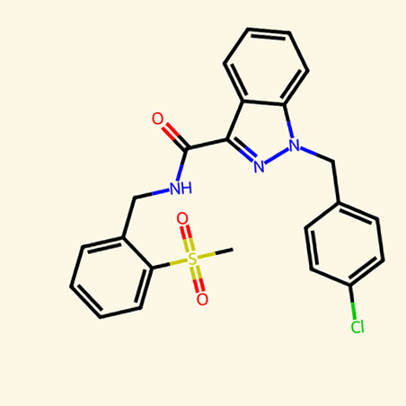 CS(=O)(=O)c1ccccc1CNC(=O)c1nn(Cc2ccc(Cl)cc2)c2ccccc12